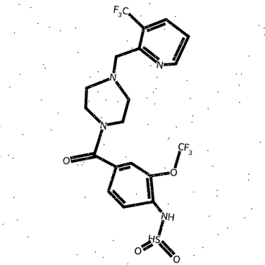 O=C(c1ccc(N[SH](=O)=O)c(OC(F)(F)F)c1)N1CCN(Cc2ncccc2C(F)(F)F)CC1